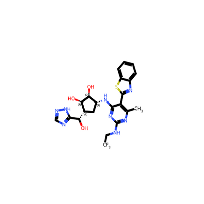 Cc1nc(NCC(F)(F)F)nc(N[C@@H]2C[C@H](C(O)c3ncn[nH]3)[C@@H](O)[C@H]2O)c1-c1nc2ccccc2s1